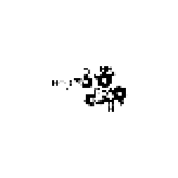 Cc1cccc(C)c1N.Cc1cccc(C)c1NC(=O)CN1CCCC1=O.O=C(O)CN1CCCC1=O